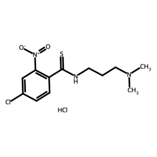 CN(C)CCCNC(=S)c1ccc(Cl)cc1[N+](=O)[O-].Cl